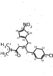 CN(C)C(=O)CN(CC1=CC=C(Cl)CC1)Cc1ccc([N+](=O)[O-])s1